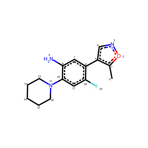 Cc1oncc1-c1cc(N)c(N2CCCCC2)cc1F